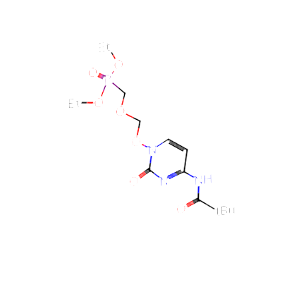 CCOP(=O)(COCOn1ccc(NC(=O)C(C)(C)C)nc1=O)OCC